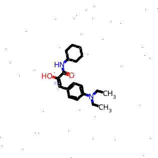 CCN(CC)c1ccc(/C=C(/O)C(=O)NC2CCCCC2)cc1